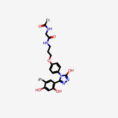 CCC(=O)NCC(=O)NCCCOc1ccc(-n2c(O)nnc2-c2cc(C(C)C)c(O)cc2O)cc1